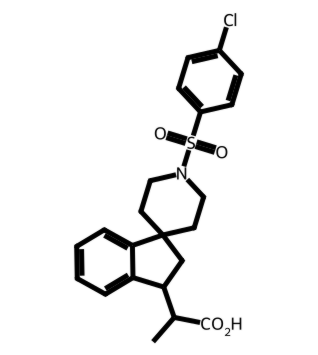 CC(C(=O)O)C1CC2(CCN(S(=O)(=O)c3ccc(Cl)cc3)CC2)c2ccccc21